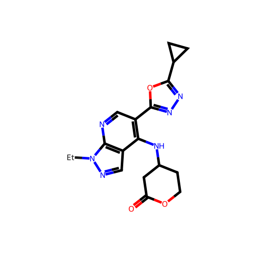 CCn1ncc2c(NC3CCOC(=O)C3)c(-c3nnc(C4CC4)o3)cnc21